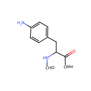 COC(=O)C(Cc1ccc(N)cc1)NC=O